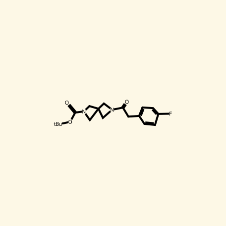 CC(C)(C)OC(=O)N1CC2(CN(C(=O)Cc3ccc(F)cc3)C2)C1